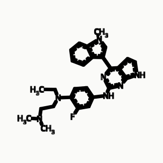 CCN(CCN(C)C)c1ccc(Nc2nc(-c3cn(C)c4ccccc34)c3cc[nH]c3n2)cc1F